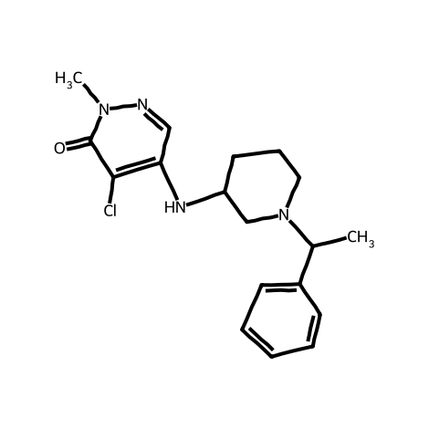 CC(c1ccccc1)N1CCCC(Nc2cnn(C)c(=O)c2Cl)C1